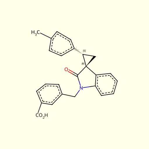 Cc1ccc([C@@H]2C[C@@]23C(=O)N(Cc2cccc(C(=O)O)c2)c2ccccc23)cc1